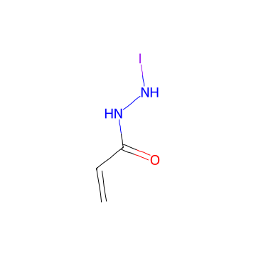 C=CC(=O)NNI